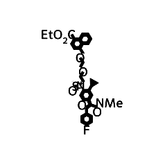 CCOC(=O)c1ccc(COCCOCCN(c2cc3oc(-c4ccc(F)cc4)c(C(=O)NC)c3cc2C2CC2)[S+](C)[O-])c2ccccc12